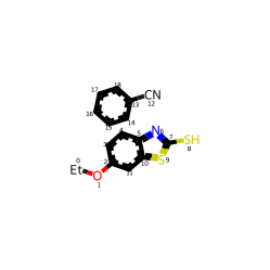 CCOc1ccc2nc(S)sc2c1.N#Cc1ccccc1